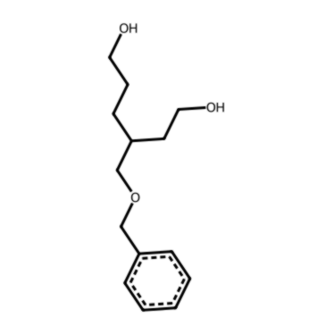 OCCCC(CCO)COCc1ccccc1